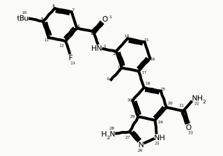 Cc1c(NC(=O)c2ccc(C(C)(C)C)cc2F)cccc1-c1cc(C(N)=O)c2[nH]nc(N)c2c1